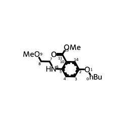 CCCCOc1ccc(NCCOC)c(C(=O)OC)c1